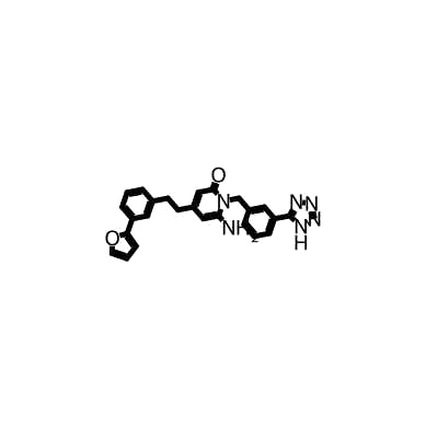 Nc1cc(CCc2cccc(-c3ccco3)c2)cc(=O)n1Cc1cccc(-c2nnn[nH]2)c1